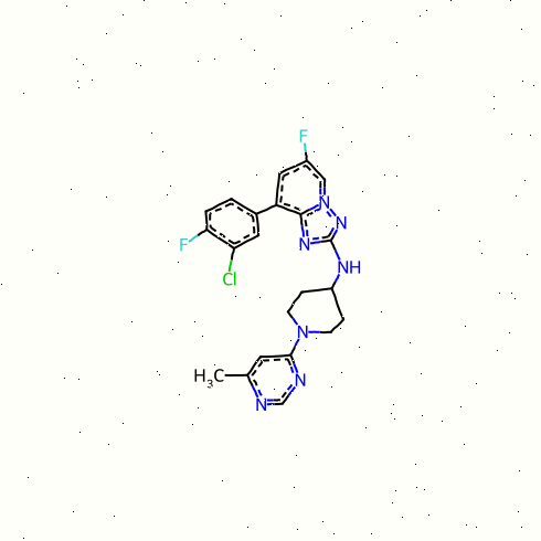 Cc1cc(N2CCC(Nc3nc4c(-c5ccc(F)c(Cl)c5)cc(F)cn4n3)CC2)ncn1